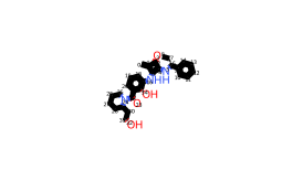 C=C1C(=O)C(N[C@H](CC)c2ccccc2)=C1Nc1cccc(C(=O)N2CCCCC2CCO)c1O